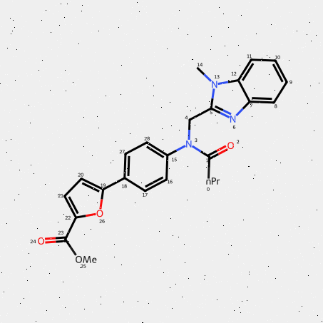 CCCC(=O)N(Cc1nc2ccccc2n1C)c1ccc(-c2ccc(C(=O)OC)o2)cc1